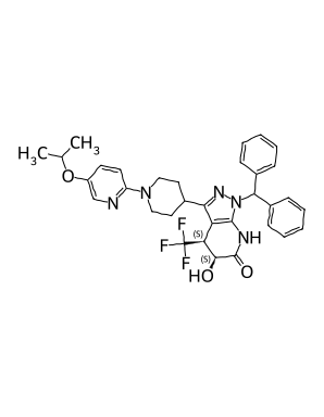 CC(C)Oc1ccc(N2CCC(c3nn(C(c4ccccc4)c4ccccc4)c4c3[C@H](C(F)(F)F)[C@H](O)C(=O)N4)CC2)nc1